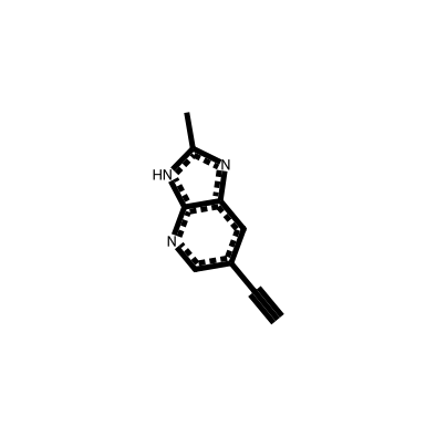 C#Cc1cnc2[nH]c(C)nc2c1